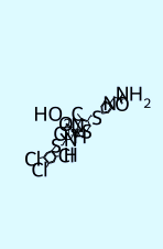 NC(=O)C[n+]1ccc(SCC2=C(C(=O)O)N3C(=O)[C@H](NC(=O)CSc4cc(Cl)c(Cl)cc4Cl)[C@H]3SC2)cc1